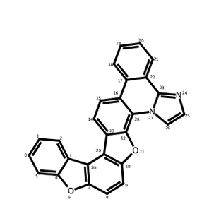 c1ccc2c(c1)oc1ccc3oc4c(ccc5c6ccccc6c6nccn6c54)c3c12